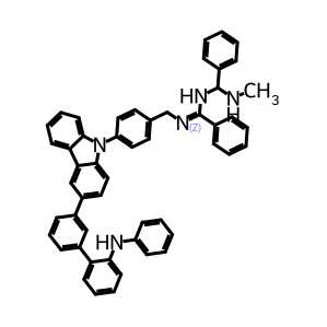 CNC(N/C(=N\Cc1ccc(-n2c3ccccc3c3cc(-c4cccc(-c5ccccc5Nc5ccccc5)c4)ccc32)cc1)c1ccccc1)c1ccccc1